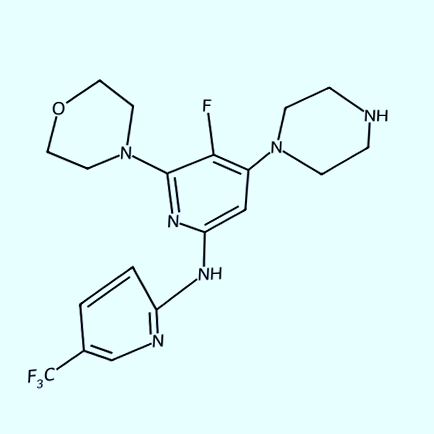 Fc1c(N2CCNCC2)cc(Nc2ccc(C(F)(F)F)cn2)nc1N1CCOCC1